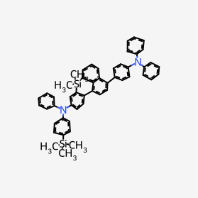 C[Si](C)(C)c1ccc(N(c2ccccc2)c2ccc3c(c2)[Si](C)(C)c2cccc4c(-c5ccc(N(c6ccccc6)c6ccccc6)cc5)ccc-3c24)cc1